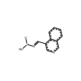 CC(C)(C)[S+]([O-])/N=C/c1cncc2ccccc12